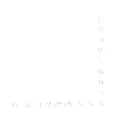 [Al+3].[Al+3].[Al+3].[Er+3].[Er+3].[Er+3].[Mg+2].[Mg+2].[Mg+2].[N-3].[N-3].[N-3].[N-3].[N-3].[N-3].[N-3].[N-3]